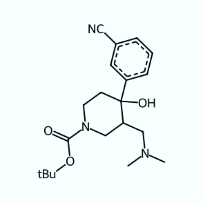 CN(C)CC1CN(C(=O)OC(C)(C)C)CCC1(O)c1cccc(C#N)c1